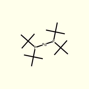 CC(C)(C)[P]([Pd][P](C(C)(C)C)C(C)(C)C)C(C)(C)C